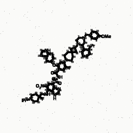 COc1ccc(CN2CCN(C3CC4(CCN(c5cc(Oc6cnc7[nH]ccc7c6)c(C(=O)NS(=O)(=O)c6cc([N+](=O)[O-])c(NCC7(F)CCN(C(C)C)CC7)c7[nH]cnc67)cc5F)CC4)C3)C(c3ccccc3C(C)C)C2)cc1